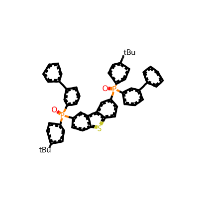 CC(C)(C)c1ccc(P(=O)(c2cccc(-c3ccccc3)c2)c2ccc3sc4ccc(P(=O)(c5ccc(C(C)(C)C)cc5)c5cccc(-c6ccccc6)c5)cc4c3c2)cc1